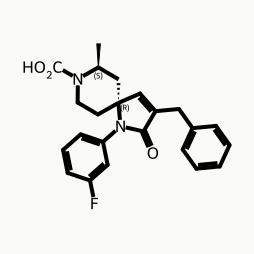 C[C@H]1C[C@@]2(C=C(Cc3ccccc3)C(=O)N2c2cccc(F)c2)CCN1C(=O)O